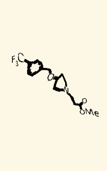 COC(=O)CCN1CCC(OCc2ccc(C(F)(F)F)cc2)CC1